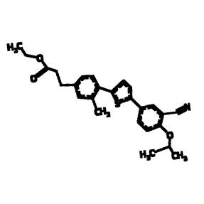 CCOC(=O)CCc1ccc(-c2ccc(-c3ccc(OC(C)C)c(C#N)c3)s2)c(C)c1